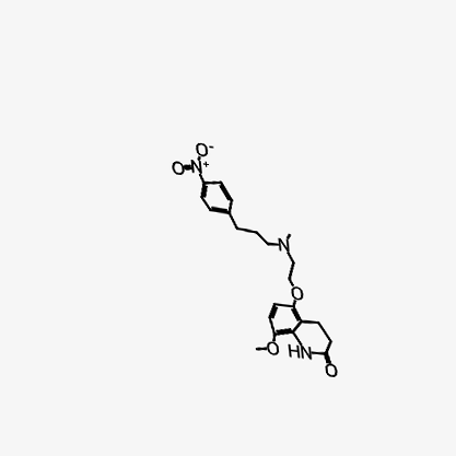 COc1ccc(OCCN(C)CCCc2ccc([N+](=O)[O-])cc2)c2c1NC(=O)CC2